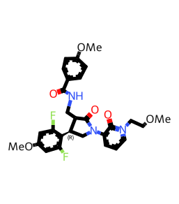 COCCn1cccc(N2C[C@@H](c3c(F)cc(OC)cc3F)C(CNC(=O)c3ccc(OC)cc3)C2=O)c1=O